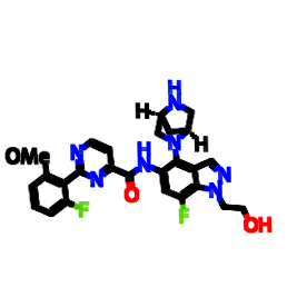 COc1cccc(F)c1-c1nccc(C(=O)Nc2cc(F)c3c(cnn3CCO)c2N2C[C@@H]3C[C@H]2CN3)n1